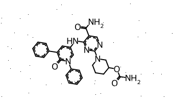 NC(=O)OC1CCCN(c2ncc(C(N)=O)c(Nc3cc(-c4ccccc4)c(=O)n(-c4ccccc4)c3)n2)C1